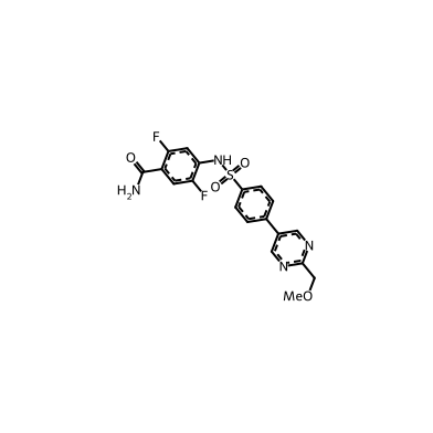 COCc1ncc(-c2ccc(S(=O)(=O)Nc3cc(F)c(C(N)=O)cc3F)cc2)cn1